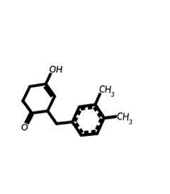 Cc1ccc(CC2C=C(O)CCC2=O)cc1C